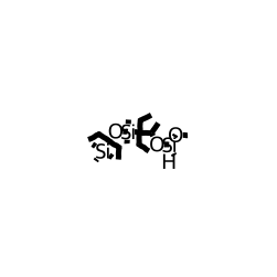 CCC(CC)(O[Si](C)(C)C(CC)(CC)C(C)O[SiH](C)OC)[Si](C)(C)C